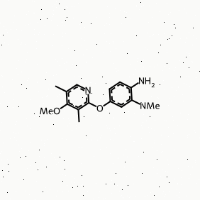 CNc1cc(Oc2ncc(C)c(OC)c2C)ccc1N